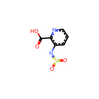 O=C(O)c1ncccc1N=S(=O)=O